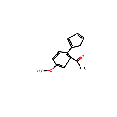 COc1ccc(C2=CC=CC2)c(C(C)=O)c1